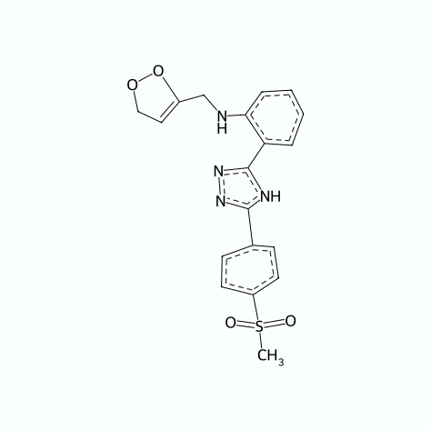 CS(=O)(=O)c1ccc(-c2nnc(-c3ccccc3NCC3=CCOO3)[nH]2)cc1